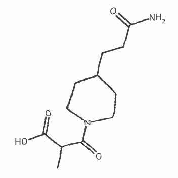 CC(C(=O)O)C(=O)N1CCC(CCC(N)=O)CC1